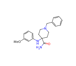 COc1cccc(NC2(C(N)=O)CCN(Cc3ccccc3)CC2)c1